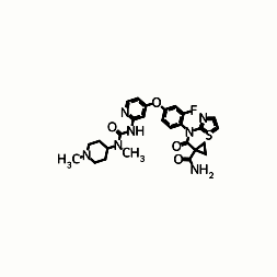 CN1CCC(N(C)C(=O)Nc2cc(Oc3ccc(N(C(=O)C4(C(N)=O)CC4)c4nccs4)c(F)c3)ccn2)CC1